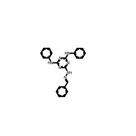 C(=N\Nc1nc(Nc2ccccc2)nc(Nc2ccccc2)n1)/c1ccccc1